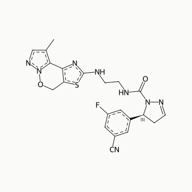 Cc1cnn2c1-c1nc(NCCNC(=O)N3N=CC[C@H]3c3cc(F)cc(C#N)c3)sc1CO2